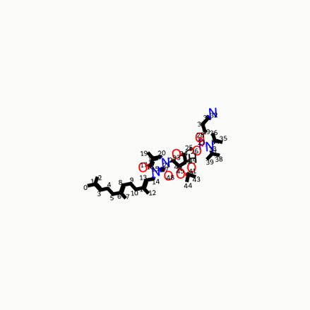 CC(C)=CCC/C(C)=C/CC/C(C)=C/Cn1c(=O)c(C)cn([C@@H]2O[C@H](COP(OCCC#N)N(C(C)C)C(C)C)[C@@H]3OC(C)(C)OC32)c1=O